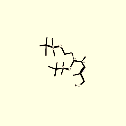 C/C(=C\[C@H](C)[C@H](CCO[Si](C)(C)C(C)(C)C)O[Si](C)(C)C(C)(C)C)CO